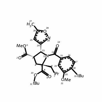 COC(=O)[C@H]1C[C@@](CC(C)C)(C(=O)OC(C)(C)C)N(C(=O)c2ccc(C(C)(C)C)c(OC)c2)[C@H]1c1cc(C)on1